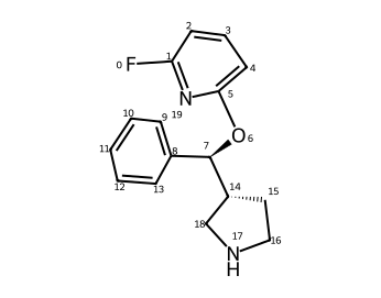 Fc1cccc(O[C@H](c2ccccc2)[C@@H]2CCNC2)n1